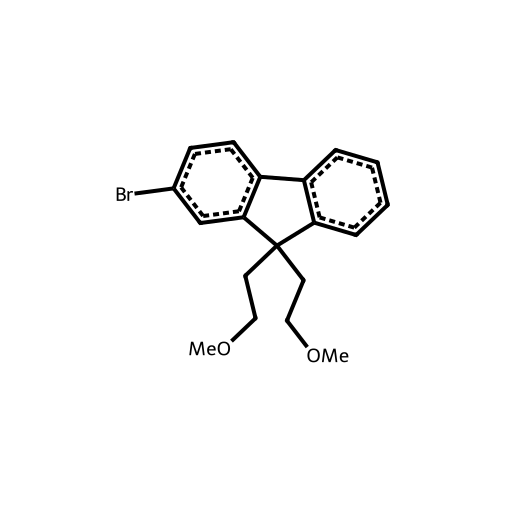 COCCC1(CCOC)c2ccccc2-c2ccc(Br)cc21